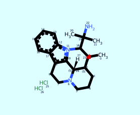 CC[C@]12CCCN3CCc4c(n(c5ccccc45)C(C(C)(C)N)C1)[C@@H]32.Cl.Cl